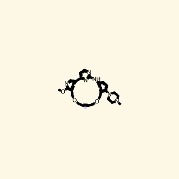 COc1ncc2cc1COC/C=C\COCc1cc(ccc1N1CCN(C)CC1)Nc1nccc-2n1